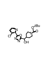 CC(C)(C)OC(=O)N1CCC(C(O)c2nnc(-c3ncccc3Cl)o2)CC1